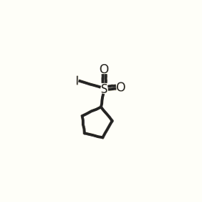 O=S(=O)(I)C1CCCC1